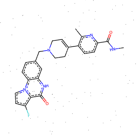 CNC(=O)c1ccc(C2=CCN(Cc3ccc4c(c3)[nH]c(=O)c3c(F)ccn34)CC2)c(C)n1